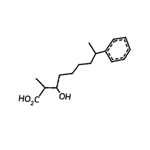 CC(CCCCC(O)C(C)C(=O)O)c1ccccc1